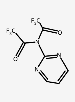 O=C(N(C(=O)C(F)(F)F)c1ncccn1)C(F)(F)F